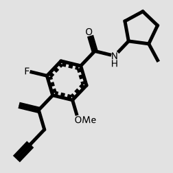 C#CCC(=C)c1c(F)cc(C(=O)NC2CCCC2C)cc1OC